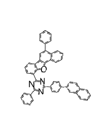 c1ccc(-c2nc(-c3ccc(-c4ccc5ccccc5c4)cc3)nc(-c3cccc4c3oc3c5ccccc5c(-c5ccccc5)cc43)n2)cc1